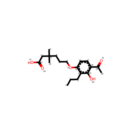 CCCc1c(OCCCC(C)(C)CC(=O)O)ccc(C(C)=O)c1O